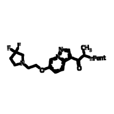 CCCCCC(C)C(=O)c1cnn2cc(OCCN3CCC(F)(F)C3)ccc12